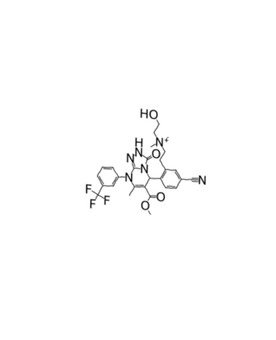 COC(=O)C1=C(C)N(c2cccc(C(F)(F)F)c2)c2n[nH]c(=O)n2C1c1ccc(C#N)cc1CC[N+](C)(C)CCO